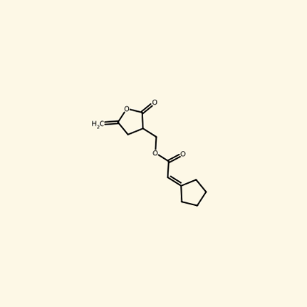 C=C1CC(COC(=O)C=C2CCCC2)C(=O)O1